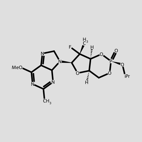 COC1=NC(C)=NC2C1=NCN2[C@@H]1O[C@@H]2CO[P@](=O)(OC(C)C)O[C@@H]2[C@@]1(C)F